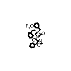 O=C(c1ncoc1-c1ccccc1)N1CC(=O)N(Cc2cccc(C(F)(F)F)c2)[C@@H](CCc2ccccc2)C1